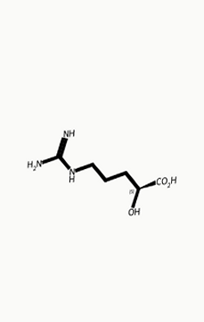 N=C(N)NCCC[C@H](O)C(=O)O